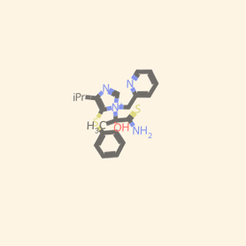 CC(C)C1=C(Sc2ccccc2)[N+](Cc2ccccn2)(C(C)(O)C(N)=S)C=N1